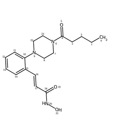 CCCCC(=O)N1CCN(c2ccccc2C=CC(=O)NO)CC1